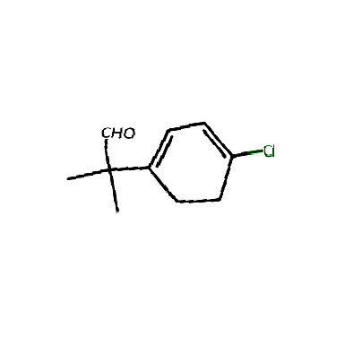 CC(C)(C=O)C1=CC=C(Cl)CC1